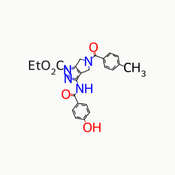 CCOC(=O)n1nc(NC(=O)c2ccc(O)cc2)c2c1CN(C(=O)c1ccc(C)cc1)C2